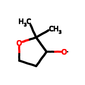 CC1(C)OCCC1[O]